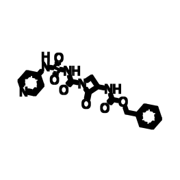 O=C(NC1CN(C(=O)NS(=O)(=O)Nc2ccncc2)C1=O)OCc1ccccc1